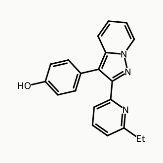 CCc1cccc(-c2nn3ccccc3c2-c2ccc(O)cc2)n1